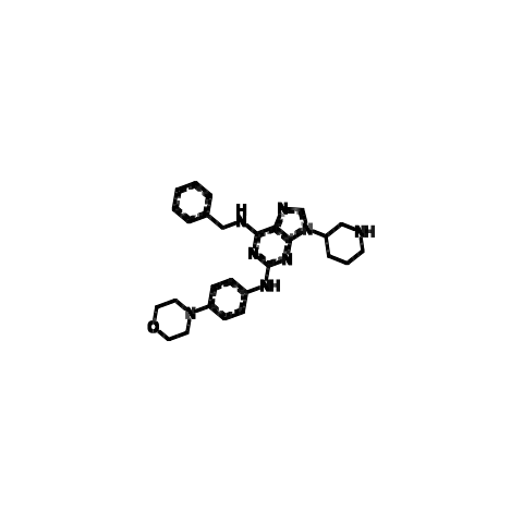 c1ccc(CNc2nc(Nc3ccc(N4CCOCC4)cc3)nc3c2ncn3C2CCCNC2)cc1